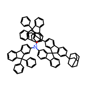 c1ccc(C2(c3ccccc3)c3ccccc3-c3ccc(N(c4ccc5c(c4)C(c4ccccc4)(c4ccccc4)c4ccccc4-5)c4ccc5c(c4)C4(c6ccccc6-5)c5cc(C67CC8CC(CC(C8)C6)C7)ccc5-c5ccc(C67CC8CC(CC(C8)C6)C7)cc54)cc32)cc1